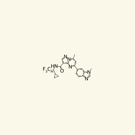 Cc1cc(-c2ccc3ncn(C)c3c2)nc2c(C(=O)N[C@H](C3CC3)C(F)(F)F)cnn12